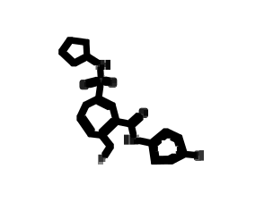 O=C(Nc1ccc(Cl)cc1)C1=C(CF)C=CCC(S(=O)(=O)NC2CCCC2)=C1